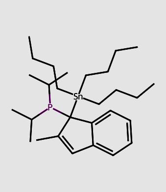 CCC[CH2][Sn]([CH2]CCC)([CH2]CCC)[C]1(P(C(C)C)C(C)C)C(C)=Cc2ccccc21